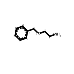 NCCSCc1ccccc1